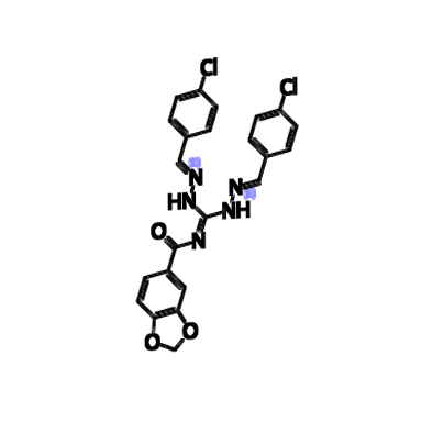 O=C(N=C(N/N=C/c1ccc(Cl)cc1)N/N=C/c1ccc(Cl)cc1)c1ccc2c(c1)OCO2